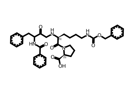 O=C(NCCCC[C@H](NCC(=O)C(Cc1ccccc1)NC(=O)c1ccccc1)C(=O)N1CCC[C@H]1C(=O)O)OCc1ccccc1